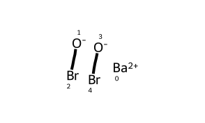 [Ba+2].[O-]Br.[O-]Br